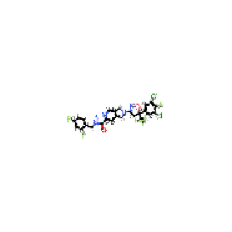 O=C(NCc1ccc(F)cc1F)c1cc2c(cn1)CN(C1=NOC(c3cc(Cl)c(F)c(Cl)c3)(C(F)(F)F)C1)C2